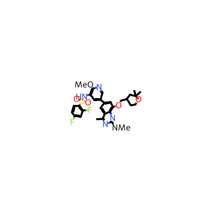 CNc1nc(C)c2cc(-c3cnc(OC)c(NS(=O)(=O)c4ccc(F)cc4F)c3)cc(OCC3CCOC(C)(C)C3)c2n1